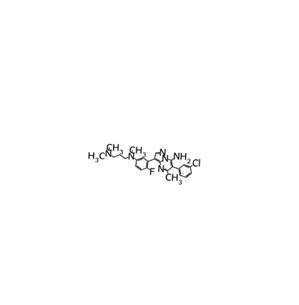 Cc1nc2c(-c3cc(N(C)CCCN(C)C)ccc3F)cnn2c(N)c1-c1cccc(Cl)c1